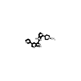 CN1CCC(c2nccc3[nH]c(-c4n[nH]c5ncc(-c6cccnc6)cc45)nc23)CC1